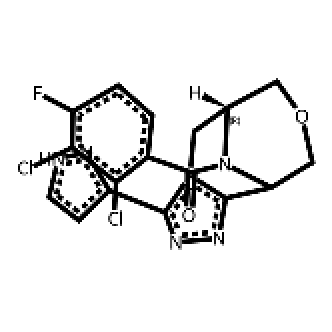 O=C(c1ccc(F)c(Cl)c1Cl)N1C2COC[C@H]1Cn1c(-c3cc[nH]n3)nnc12